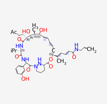 C=CCNC(=O)/C=C/C=C(\C)[C@@H]1C/C=C/C=C/[C@H](O)[C@H](C)[C@@H](O)[C@@H](CCC(C)=O)C(=O)N[C@@H](C(C)C)C(=O)NC(c2cccc(O)c2)C(=O)N2CCCC(N2)C(=O)O1